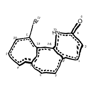 O=c1ccc2ccc3cccc(Br)c3c2[nH]1